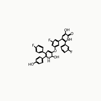 O=c1[nH]c(-c2cccc(F)c2)c(-c2cc(F)cc(OC3=CC(c4ccc(F)cc4)=C(c4ccc(O)cc4)NC3O)c2)cc1O